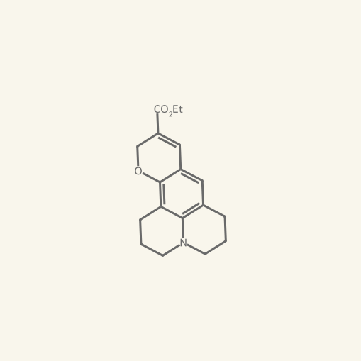 CCOC(=O)C1=Cc2cc3c4c(c2OC1)CCCN4CCC3